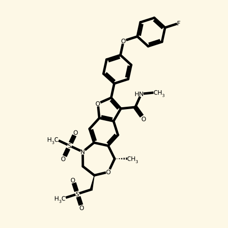 CNC(=O)c1c(-c2ccc(Oc3ccc(F)cc3)cc2)oc2cc3c(cc12)[C@H](C)O[C@@H](CS(C)(=O)=O)CN3S(C)(=O)=O